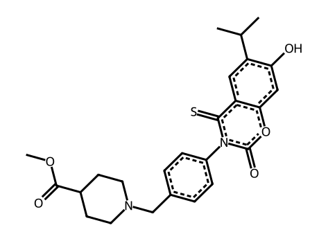 COC(=O)C1CCN(Cc2ccc(-n3c(=O)oc4cc(O)c(C(C)C)cc4c3=S)cc2)CC1